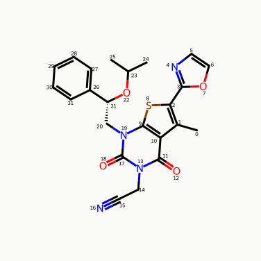 Cc1c(-c2ncco2)sc2c1c(=O)n(CC#N)c(=O)n2C[C@@H](OC(C)C)c1ccccc1